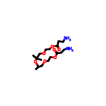 CC(COCCOC(=O)CCN)OC(C)(C)COCCOC(=O)CCN